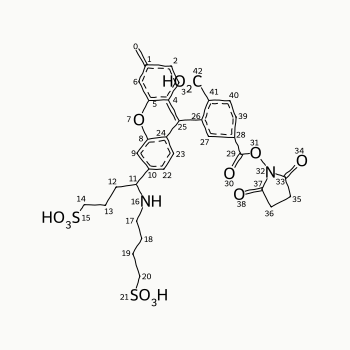 C=c1ccc2c(c1)Oc1cc(C(CCCS(=O)(=O)O)NCCCCS(=O)(=O)O)ccc1C=2c1cc(C(=O)ON2C(=O)CCC2=O)ccc1C(=O)O